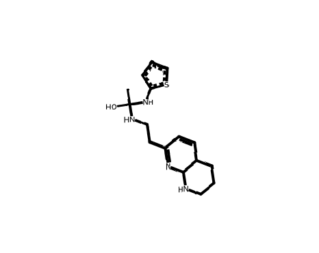 CC(O)(NCCC1=NC2NCCCC2C=C1)Nc1cccs1